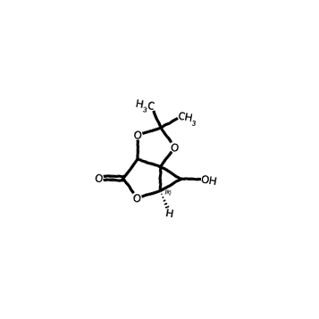 CC1(C)OC2C(=O)O[C@@H]3C(O)C23O1